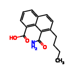 CCCCc1ccc2cccc(C(=O)O)c2c1C(N)=O